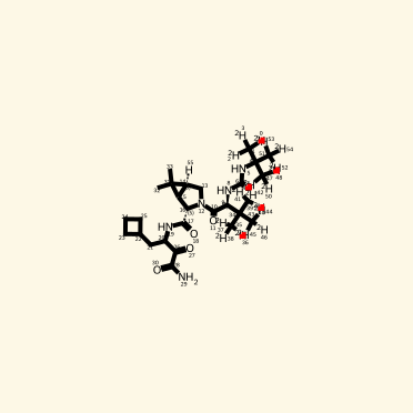 [2H]C([2H])([2H])C(NC(=O)N[C@H](C(=O)N1C[C@H]2C([C@H]1C(=O)NC(CC1CCC1)C(=O)C(N)=O)C2(C)C)C(C([2H])([2H])[2H])(C([2H])([2H])[2H])C([2H])([2H])[2H])(C([2H])([2H])[2H])C([2H])([2H])[2H]